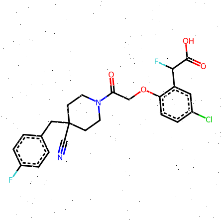 N#CC1(Cc2ccc(F)cc2)CCN(C(=O)COc2ccc(Cl)cc2C(F)C(=O)O)CC1